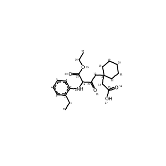 [CH2]Cc1ccccc1NC(C(=O)CC1(CC(=O)O)CCCCC1)C(=O)OCC